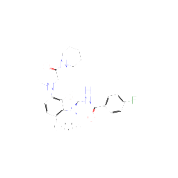 COc1ccc(N(C)CC(=O)N2CCCCC2)c2sc(NC(=O)c3ccc(F)cc3)nc12